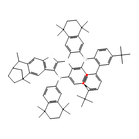 Cc1cc2c3c(c1)N(c1ccc4c(c1)C(C)(C)CCC4(C)C)c1c(oc4cc5c(cc14)C1(C)CCC(C1)C5C)B3c1cc3c(cc1N2c1ccc(C(C)(C)C)cc1-c1ccc(C(C)(C)C)cc1)C(C)(C)CCC3(C)C